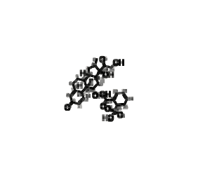 C[C@@H]1C[C@H]2[C@@H]3CCC4=CC(=O)C=C[C@]4(C)[C@@]3(F)[C@@H](O)C[C@]2(C)[C@@]1(O)C(=O)CO.O=C(O)c1ccccc1S(=O)(=O)O